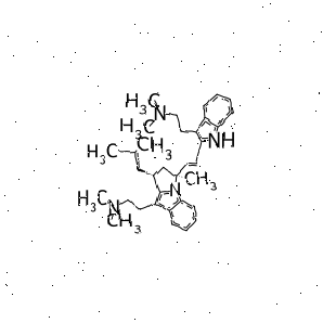 CC(C)=C[C@H]1C[C@@](C)(/C=C/c2[nH]c3ccccc3c2CCN(C)C)n2c1c(CCN(C)C)c1ccccc12